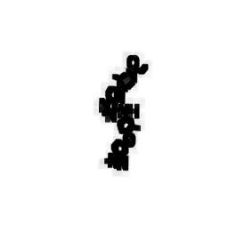 C=CC(=O)N1CCN(c2ccc3ncnc(Nc4ccc(Oc5ccc6c(c5)ncn6C)c(C)c4)c3n2)C(C)C1